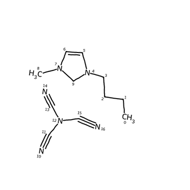 CCCCN1C=CN(C)C1.N#CN(C#N)C#N